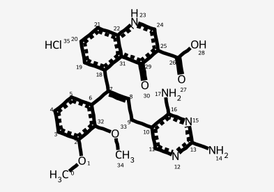 COc1cccc(C(=CCc2cnc(N)nc2N)c2cccc3[nH]cc(C(=O)O)c(=O)c23)c1OC.Cl